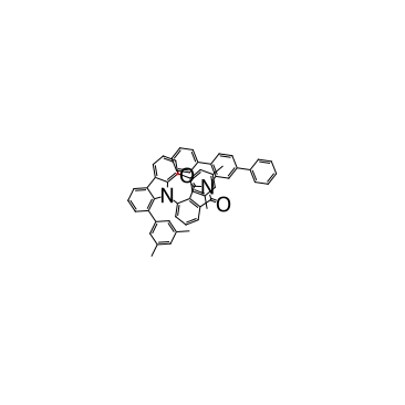 Cc1cc(C)cc(-c2cccc3c4cccc(-c5cc(C)cc(C)c5)c4n(-c4cccc5c4C(=O)N(c4cc(-c6ccccc6)ccc4-c4ccccc4)C5=O)c23)c1